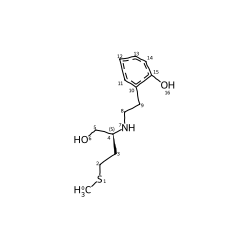 CSCC[C@@H](CO)NCCc1ccccc1O